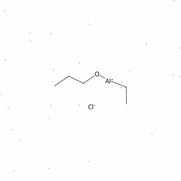 CCC[O][Al+][CH2]C.[Cl-]